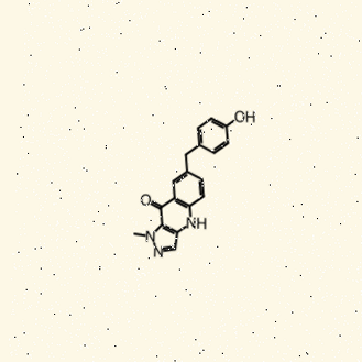 Cn1ncc2[nH]c3ccc(Cc4ccc(O)cc4)cc3c(=O)c21